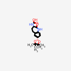 CC1(C)OB(c2ccc3c(c2)CCC(NC(=O)O)C(=O)N3)OC1(C)C